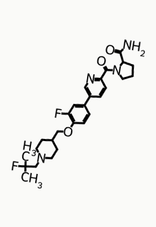 CC(C)(F)CN1CCC(COc2ccc(-c3ccc(C(=O)N4CCCC4C(N)=O)nc3)cc2F)CC1